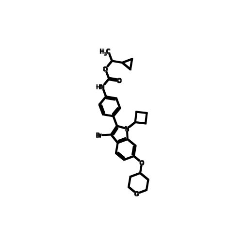 CC(OC(=O)Nc1ccc(-c2c(Br)c3ccc(OC4CCOCC4)cc3n2C2CCC2)cc1)C1CC1